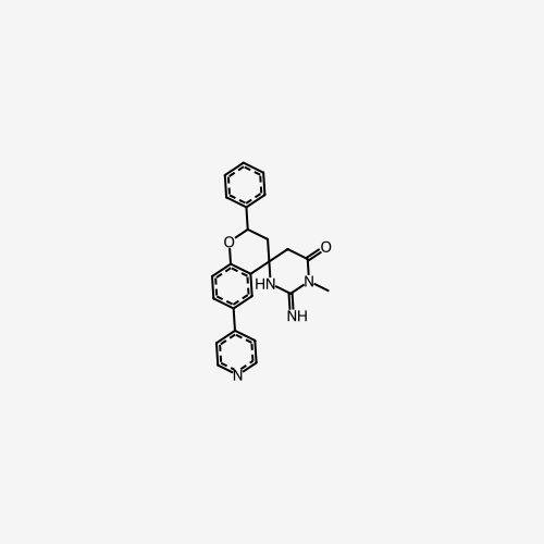 CN1C(=N)NC2(CC1=O)CC(c1ccccc1)Oc1ccc(-c3ccncc3)cc12